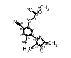 COC(=O)CSc1cc(-n2nc(C)c(Cl)c2C)c(F)cc1C#N